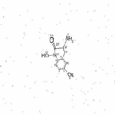 N#Cc1ccc2c(c1)CC(N)C(=O)N2O